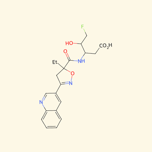 CCC1(C(=O)NC(CC(=O)O)C(O)CF)CC(c2cnc3ccccc3c2)=NO1